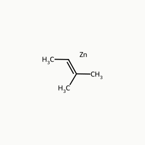 CC=C(C)C.[Zn]